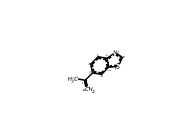 C=C(C)c1ccc2ncsc2c1